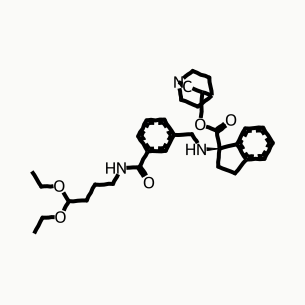 CCOC(CCCNC(=O)c1cccc(CN[C@]2(C(=O)OC3CN4CCC3CC4)CCc3ccccc32)c1)OCC